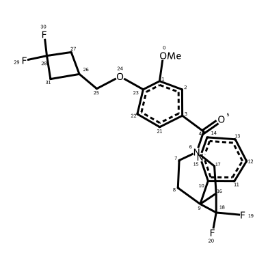 COc1cc(C(=O)N2CCC3(c4ccccn4)C(C2)C3(F)F)ccc1OCC1CC(F)(F)C1